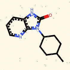 CC1CCC(n2c(=O)[nH]c3cccnc32)CC1